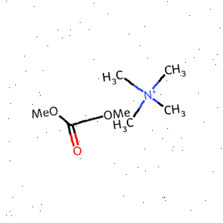 COC(=O)OC.C[N+](C)(C)C